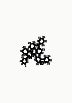 c1ccc(-c2nc(-n3c4ccc5oc6ccccc6c5c4c4ccc5c(c6ccccc6n5-c5ccccc5)c43)nc3ccccc23)cc1